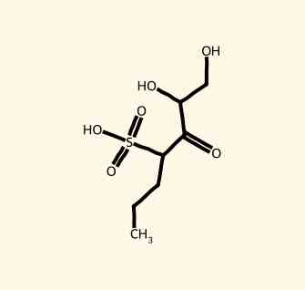 CCCC(C(=O)C(O)CO)S(=O)(=O)O